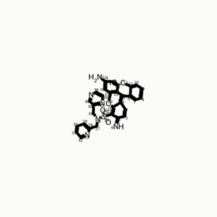 N=c1ccc2c(-c3ccccc3C(=O)O)c3ccc(N)cc3oc-2c1S(=O)(=O)N(Cc1ccccn1)Cc1cnccn1